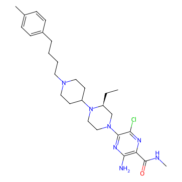 CC[C@H]1CN(c2nc(N)c(C(=O)NC)nc2Cl)CCN1C1CCN(CCCCc2ccc(C)cc2)CC1